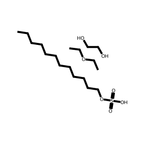 CCCCCCCCCCCCOS(=O)(=O)O.CCOCC.OCCO